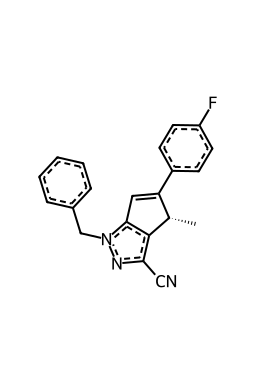 C[C@H]1C(c2ccc(F)cc2)=Cc2c1c(C#N)nn2Cc1ccccc1